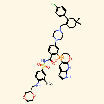 CC1(C)CCC(CN2CCN(c3ccc(C(=O)NS(=O)(=O)c4ccc(NC[C@H]5COCCO5)c([N+](=O)[O-])c4)c([PH]4(O)CCOc5nc6[nH]ccc6cc54)c3)CC2)=C(c2ccc(Cl)cc2)C1